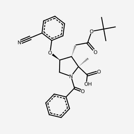 CC(C)(C)OC(=O)C[C@H]1[C@H](Oc2ccccc2C#N)CN(C(=O)c2ccccc2)[C@]1(C)C(=O)O